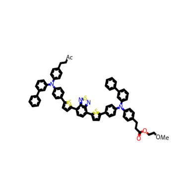 COCCOC(=O)CCc1ccc(N(c2ccc(-c3ccc(-c4ccc(-c5ccc(-c6ccc(N(c7ccc(CCC(C)=O)cc7)c7cccc(-c8ccccc8)c7)cc6)s5)c5nsnc45)s3)cc2)c2cccc(-c3ccccc3)c2)cc1